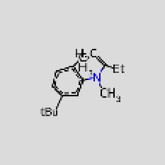 C=C(CC)N(C)c1cc(C(C)(C)C)ccc1C